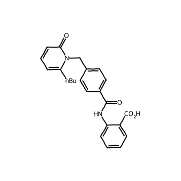 CCCCc1cccc(=O)n1Cc1ccc(C(=O)Nc2ccccc2C(=O)O)cc1